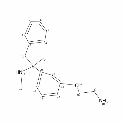 CC1(Cc2ccccc2)NCc2ccc(OCCN)cc21